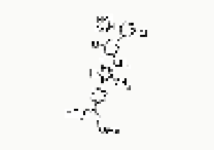 COCCN(C(=O)O)c1ccc(-c2[nH]c(Cn3c(C)cc(-c4cc(Cl)ccc4-n4cnnn4)cc3=O)nc2C)cc1